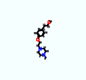 CN1CCN(CCOc2ccc(CC=O)cc2)CC1